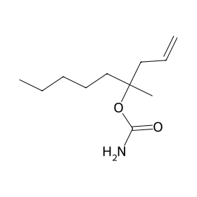 C=CCC(C)(CCCCC)OC(N)=O